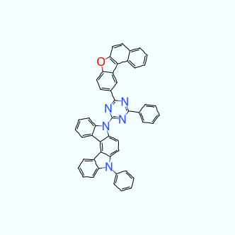 c1ccc(-c2nc(-c3ccc4oc5ccc6ccccc6c5c4c3)nc(-n3c4ccccc4c4c5c6ccccc6n(-c6ccccc6)c5ccc43)n2)cc1